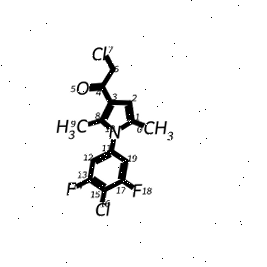 Cc1cc(C(=O)CCl)c(C)n1-c1cc(F)c(Cl)c(F)c1